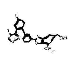 Cn1cnnc1-c1cc(F)ccc1-c1cccc(-c2nc3cc(CO)cc(C(F)(F)F)c3o2)c1